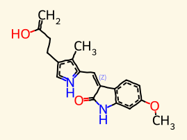 C=C(O)CCc1c[nH]c(/C=C2\C(=O)Nc3cc(OC)ccc32)c1C